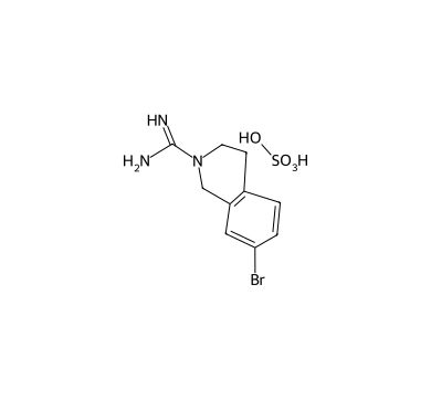 N=C(N)N1CCc2ccc(Br)cc2C1.O=S(=O)(O)O